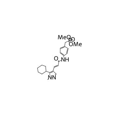 COP(=O)(Cc1ccc(NC(=O)/C=C/c2cnn(C)c2C2CCCCC2)cc1)OC